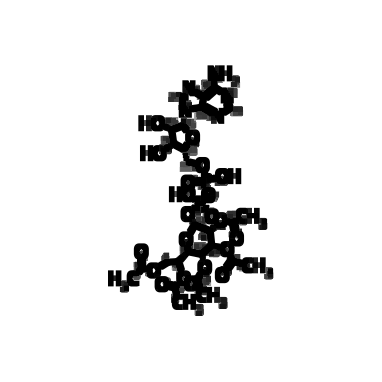 CC(=O)OCC(OC(C)=O)[C@H]1O[C@@H](OP(=O)(O)OP(=O)(O)OC[C@H]2O[C@@H](n3cnc4c(N)ncnc43)[C@H](O)[C@@H]2O)[C@@H](OC(C)=O)[C@@H](OC(C)=O)[C@@H]1OC(C)=O